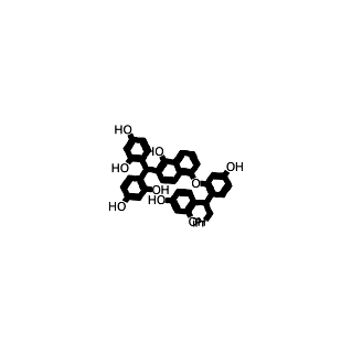 CC(C)CC(c1ccc(O)cc1O)c1ccc(O)cc1Oc1cccc2c(O)c(C(c3ccc(O)cc3O)c3ccc(O)cc3O)ccc12